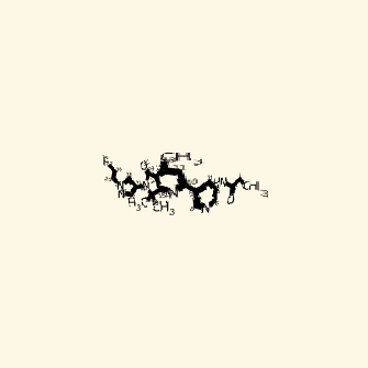 CCC(=O)Nc1cncc(-c2cc(C)c3c(n2)C(C)(C)N(c2cnn(CCF)c2)C3=O)c1